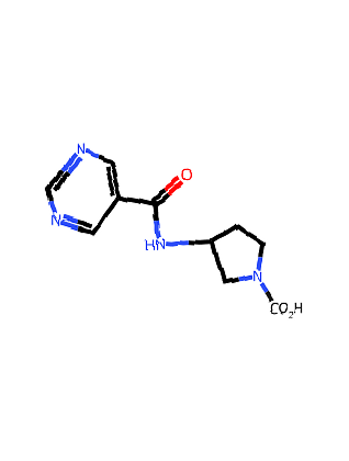 O=C(NC1CCN(C(=O)O)C1)c1cncnc1